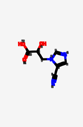 N#Cc1cncn1CC(O)C(=O)O